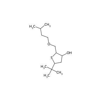 CC(C)CCOCC1SC(C(C)(C)C)CC1O